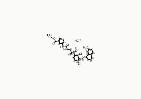 CCOC(=O)c1cccc(NC(=O)NCC(=O)N(C)c2ccc(Cl)c(COc3cccc4ccc(C)nc34)c2Cl)c1.Cl